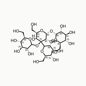 OC[C@H]1O[C@H](O[C@H]2O[C@H](CO)[C@@H](O)[C@@](OC3O[C@H](CO)[C@@H](O)[C@H](O)[C@H]3O)(C3O[C@H](CO)[C@@H](O)[C@H](O)[C@H]3O)[C@H]2O)[C@H](O)[C@@H](O)[C@@H]1O